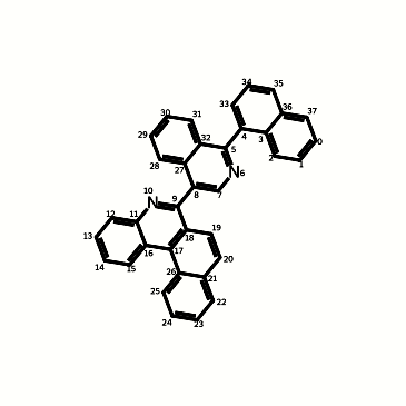 c1ccc2c(-c3ncc(-c4nc5ccccc5c5c4ccc4ccccc45)c4ccccc34)cccc2c1